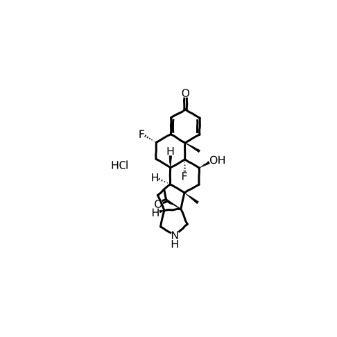 CC(=O)[C@@]12CNC[C@@H]1C[C@H]1[C@@H]3C[C@H](F)C4=CC(=O)C=C[C@]4(C)[C@@]3(F)[C@@H](O)C[C@@]12C.Cl